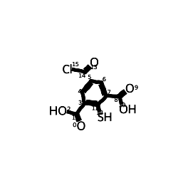 O=C(O)c1cccc(C(=O)O)c1S.O=CCl